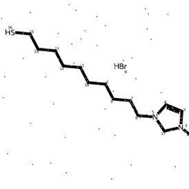 Br.CN1C=CN(CCCCCCCCCCS)C1